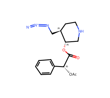 CC(=O)O[C@@H](C(=O)O[C@H]1CNCC[C@@H]1CN=[N+]=[N-])c1ccccc1